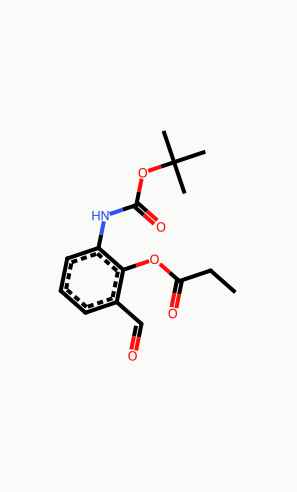 CCC(=O)Oc1c(C=O)cccc1NC(=O)OC(C)(C)C